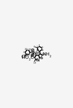 Cc1cccc(-c2c(N)sc3nc(C)c(C(=O)O)c(NS(=O)(=O)c4cccc(Cl)c4)c23)c1